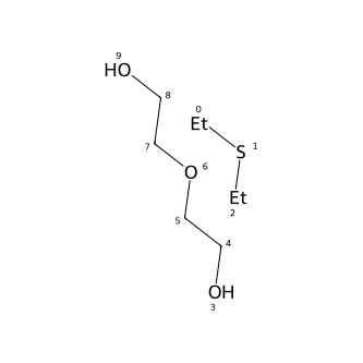 CCSCC.OCCOCCO